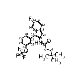 CC(C)(C)CCC(=O)Nc1nc2ccc(F)cn2c1-c1cccc(OC(F)(F)F)c1